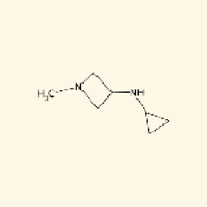 CN1CC(NC2CC2)C1